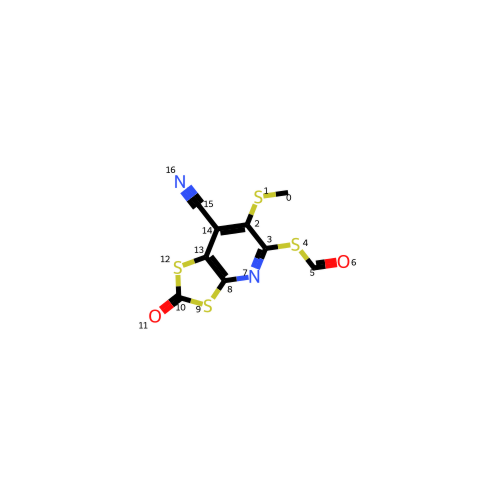 CSc1c(SC=O)nc2sc(=O)sc2c1C#N